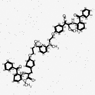 COC(=O)C(Cc1ccc(OCCN(C)c2cccc(N(C)CCOc3ccc(C(=C=O)C(Nc4ccccc4C(=O)c4ccccc4)OC)cc3)n2)cc1)Nc1ccccc1C(=O)c1ccccc1